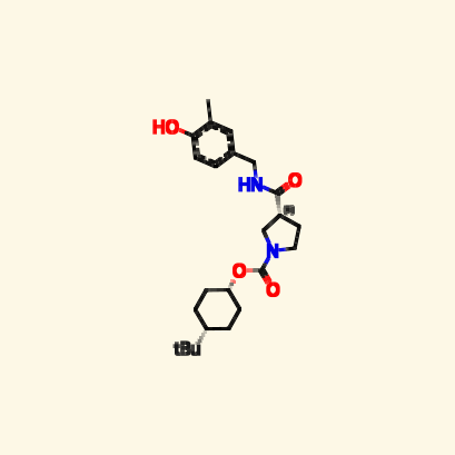 Cc1cc(CNC(=O)[C@@H]2CCN(C(=O)O[C@H]3CC[C@@H](C(C)(C)C)CC3)C2)ccc1O